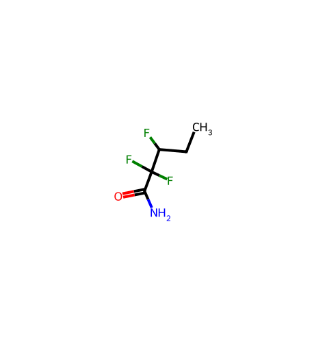 CCC(F)C(F)(F)C(N)=O